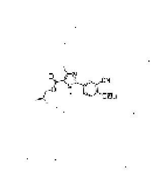 C=C(C)COC(=O)c1sc(-c2ccc(OCC(C)C)c(C#N)c2)nc1C